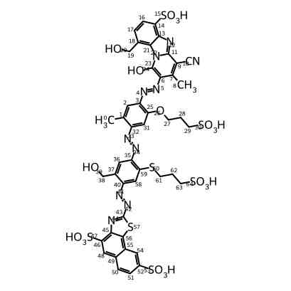 Cc1cc(N=Nc2c(C)c(C#N)c3nc4c(S(=O)(=O)O)ccc(CO)c4n3c2O)c(OCCCS(=O)(=O)O)cc1N=Nc1cc(CO)c(N=Nc2nc3c(S(=O)(=O)O)cc4ccc(S(=O)(=O)O)cc4c3s2)cc1SCCCS(=O)(=O)O